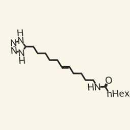 CCCCCCC(=O)NCCCC/C=C/CCCCCC1NN=NN1